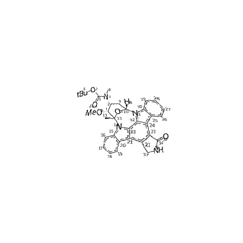 CO[C@@H]1[C@H](N(C)C(=O)OC(C)(C)C)C[C@H]2O[C@]1(C)n1c3ccccc3c3c4c(c5c6ccccc6n2c5c31)C(=O)NC4